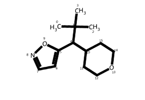 CC(C)(C)C(c1ccno1)C1CCOCC1